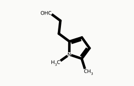 Cc1ccc(CCC=O)n1C